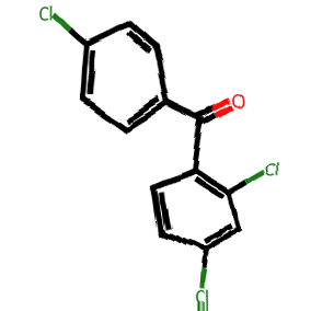 O=C(c1ccc(Cl)cc1)c1ccc(Cl)cc1Cl